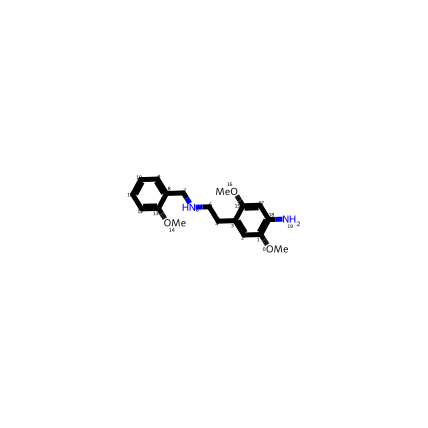 COc1cc(CCNCc2ccccc2OC)c(OC)cc1N